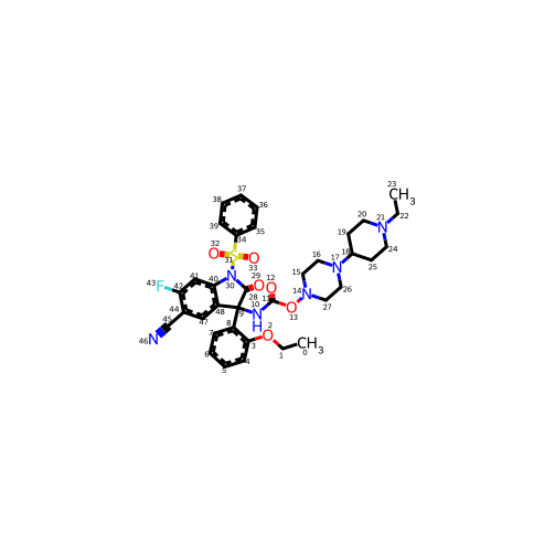 CCOc1ccccc1C1(NC(=O)ON2CCN(C3CCN(CC)CC3)CC2)C(=O)N(S(=O)(=O)c2ccccc2)c2cc(F)c(C#N)cc21